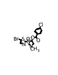 CN1CC(OC(=O)c2ccc(Cl)cc2)[N+]([O-])(c2ncc(Br)s2)C1